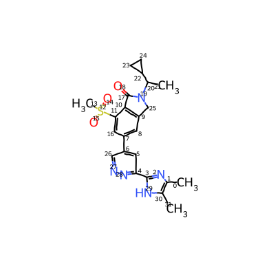 Cc1nc(-c2cc(-c3cc4c(c(S(C)(=O)=O)c3)C(=O)N(C(C)C3CC3)C4)cnn2)[nH]c1C